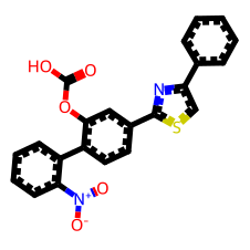 O=C(O)Oc1cc(-c2nc(-c3ccccc3)cs2)ccc1-c1ccccc1[N+](=O)[O-]